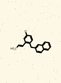 O=C(O)/C=C/c1cc(Cl)ccc1Cc1ccc2ccccc2c1